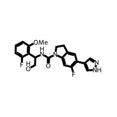 COc1cccc(F)c1C(CO)NC(=O)N1CCc2cc(-c3cn[nH]c3)c(F)cc21